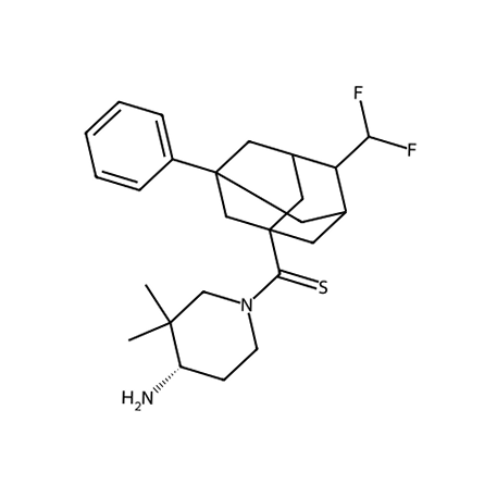 CC1(C)CN(C(=S)C23CC4CC(c5ccccc5)(CC(C2)C4C(F)F)C3)CC[C@@H]1N